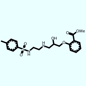 COC(=O)c1ccccc1OCC(O)CNCCNS(=O)(=O)c1ccc(C)cc1